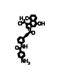 Cc1cccc2c(O)cc3c(c12)[C@H](CCl)CN3C(=O)C#Cc1cccc(NC(=O)c2ccc(N)cc2)c1